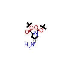 CC(C)(C)OC(=O)[C@@H]1C[C@@H](CN)CN1C(=O)OC(C)(C)C